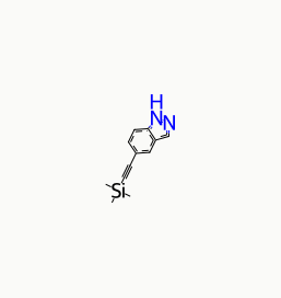 C[Si](C)(C)C#Cc1ccc2[nH]ncc2c1